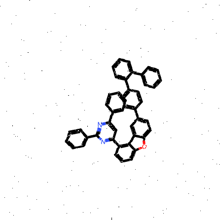 c1ccc(-c2cc(-c3cccc4oc5ccc(-c6ccc(-c7ccccc7-c7ccccc7)cc6)cc5c34)nc(-c3ccccc3)n2)cc1